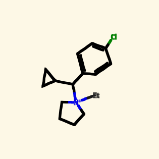 CC[N+]1(C(c2ccc(Cl)cc2)C2CC2)CCCC1